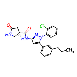 CCCc1cccc(-c2cc(NC(=O)[C@@H]3CNC(=O)C3)nn2-c2ccccc2Cl)c1